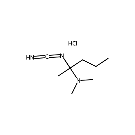 CCCC(C)(N=C=N)N(C)C.Cl